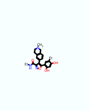 CCNC(=O)c1noc(-c2cc(CC)c(O)cc2O)c1-c1ccc2c(c1)CCN(C)C2